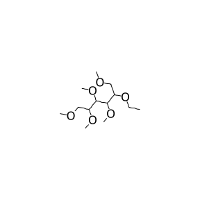 CCOC(COC)C(OC)C(OC)C(COC)OC